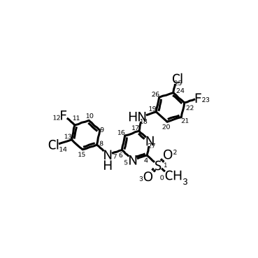 CS(=O)(=O)c1nc(Nc2ccc(F)c(Cl)c2)cc(Nc2ccc(F)c(Cl)c2)n1